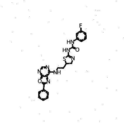 O=C(NC1=NCC(CCNc2ncnc3oc(-c4ccccc4)nc23)S1)Nc1cccc(F)c1